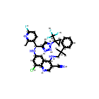 Cc1nc(F)ccc1[C@H](Nc1cc(Cl)c2ncc(C#N)c(NCC(C)(C)c3ccccc3)c2c1)c1cn(C2(C(F)(F)F)CC2)nn1